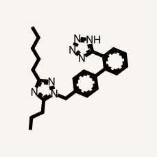 CCCCCc1nc(CCC)n(Cc2ccc(-c3ccccc3-c3nnn[nH]3)cc2)n1